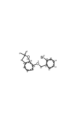 CC1(C)Cc2cccc(O[CH]c3ccccc3Br)c2O1